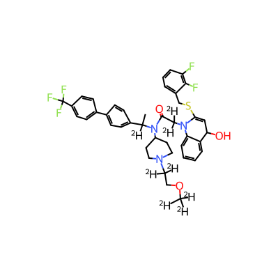 [2H]C([2H])([2H])OCC([2H])([2H])N1CCC(N(C(=O)C([2H])([2H])N2C(SCc3cccc(F)c3F)=CC(O)c3ccccc32)C([2H])(C)c2ccc(-c3ccc(C(F)(F)F)cc3)cc2)CC1